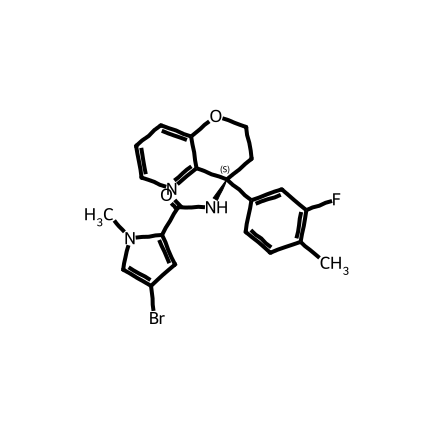 Cc1ccc([C@@]2(NC(=O)c3cc(Br)cn3C)CCOc3cccnc32)cc1F